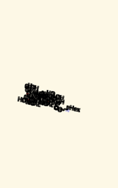 CCCCCC/C=C\CCCOc1cccc(C(=O)NC2C(O)[C@H](O)C(CO)O[C@H]2O[C@@H]2C(CO)O[C@@H](O[C@@H](CO)C(CO)O[C@H](CNC(C)=O)O[C@@H]3C(CO)O[C@@H](O[C@@H]4C(CO[C@@H]5OC6O[C@H]6C(O)C5O)O[C@@H](O)C(NC(C)=O)C4O)C(NC(C)=O)C3O)C(NC(C)=O)C2O)c1